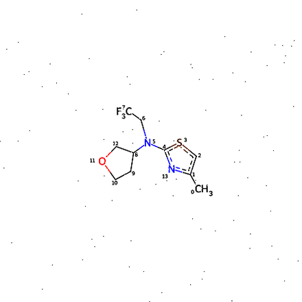 Cc1csc(N(CC(F)(F)F)C2CCOC2)n1